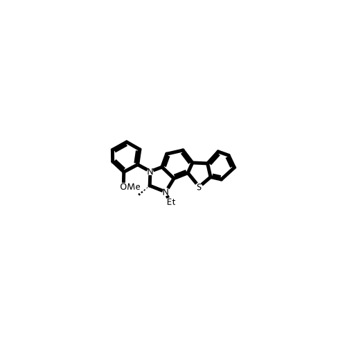 CCN1c2c(ccc3c2sc2ccccc23)N(c2ccccc2OC)[C@H]1C